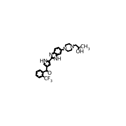 C[C@@H](O)CN1CCN(c2ccc3nc(-c4cc(C(=O)c5ccccc5C(F)(F)F)c[nH]4)[nH]c3c2)CC1